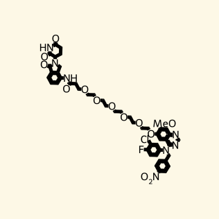 COc1cc2ncnc(N(Cc3ccc([N+](=O)[O-])cc3)c3ccc(F)c(Cl)c3)c2cc1OCCOCCOCCOCCOCCOCCC(=O)Nc1cccc2c1CN(C1CCC(=O)NC1=O)C2=O